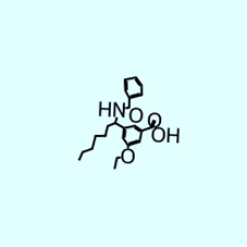 CCCCCCC(NC(=O)c1ccccc1)c1cc(OCC)cc(C(=O)O)c1